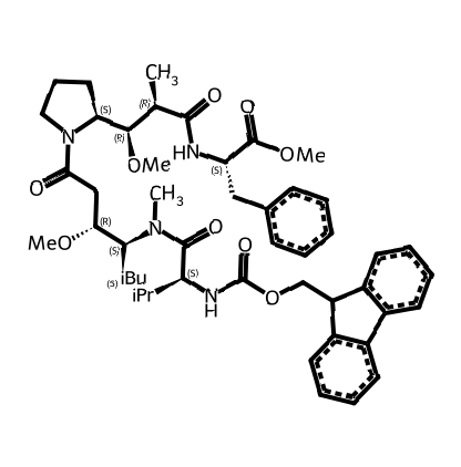 CC[C@H](C)[C@@H]([C@@H](CC(=O)N1CCC[C@H]1[C@H](OC)[C@@H](C)C(=O)N[C@@H](Cc1ccccc1)C(=O)OC)OC)N(C)C(=O)[C@@H](NC(=O)OCC1c2ccccc2-c2ccccc21)C(C)C